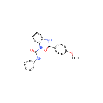 O=COc1ccc(C(=O)Nc2ccccc2NC(=O)Nc2ccccc2)cc1